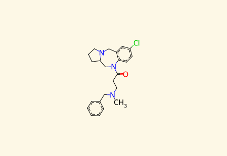 CN(CCC(=O)N1CC2CCCN2Cc2cc(Cl)ccc21)Cc1ccccc1